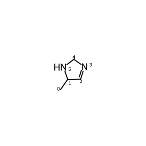 CC1C=NCN1